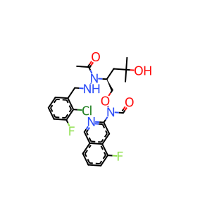 CC(=O)N(NCc1cccc(F)c1Cl)[C@H](CON(C=O)c1cc2c(F)cccc2cn1)CC(C)(C)O